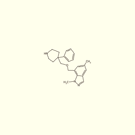 Cc1cc(COCC2(c3ccccc3)CCNCC2)c2c(cnn2C)c1